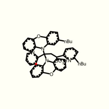 CCCCc1ccc2c(c1)N(C(CC(c1cccc(CCCC)n1)S(=O)(=O)O)(c1ccccn1)N1c3ccccc3Oc3ccccc31)c1ccccc1O2